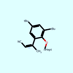 CCCCCCCOc1c(/C(C)=C\C#N)cc(C(C)(C)C)cc1C(C)(C)C